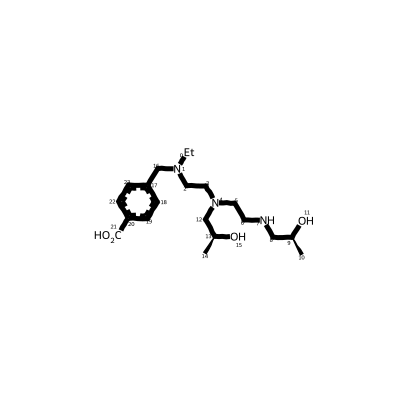 CCN(CCN(CCNC[C@H](C)O)C[C@H](C)O)Cc1ccc(C(=O)O)cc1